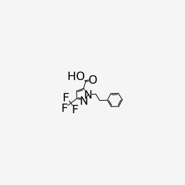 O=C(O)c1cc(C(F)(F)F)nn1CCc1ccccc1